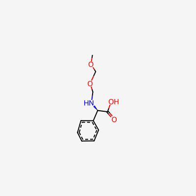 COCOCN[C@@H](C(=O)O)c1ccccc1